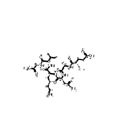 CC(C)[C@H](NC(=O)[C@H](CCCCN)NC(=O)[C@H](CC(N)=O)NC(=O)[C@H](C)NC(=O)[C@@H](N)CCC(=O)O)C(=O)NCC(N)=O